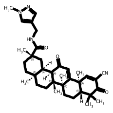 Cn1cc(CNC(=O)[C@@]2(C)CC[C@]3(C)CC[C@]4(C)[C@H](C(=O)C=C5[C@@]6(C)C=C(C#N)C(=O)C(C)(C)[C@@H]6CC[C@]54C)[C@@H]3C2)cn1